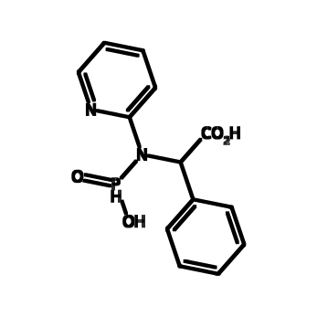 O=C(O)C(c1ccccc1)N(c1ccccn1)[PH](=O)O